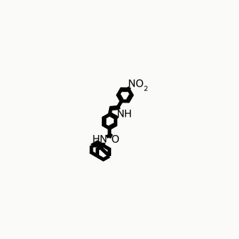 O=C(NC12CC3CC(CC(C3)C1)C2)c1ccc2cc(-c3ccc([N+](=O)[O-])cc3)[nH]c2c1